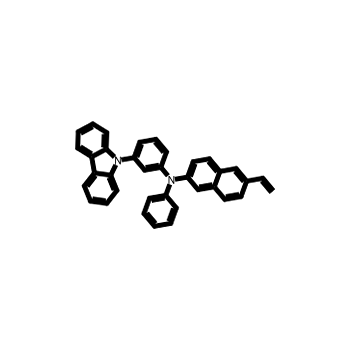 C=Cc1ccc2cc(N(c3ccccc3)c3cccc(-n4c5ccccc5c5ccccc54)c3)ccc2c1